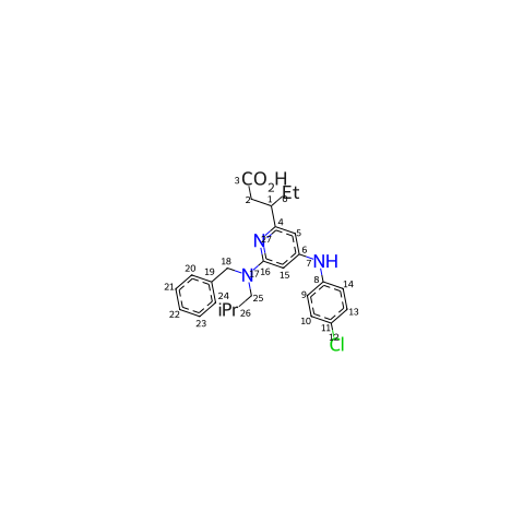 CCC(CC(=O)O)c1cc(Nc2ccc(Cl)cc2)cc(N(Cc2ccccc2)CC(C)C)n1